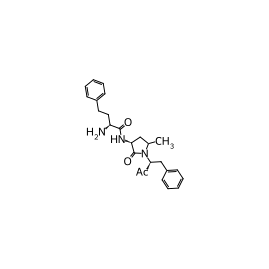 CC(=O)[C@H](Cc1ccccc1)N1C(=O)[C@@H](NC(=O)[C@@H](N)CCc2ccccc2)CC1C